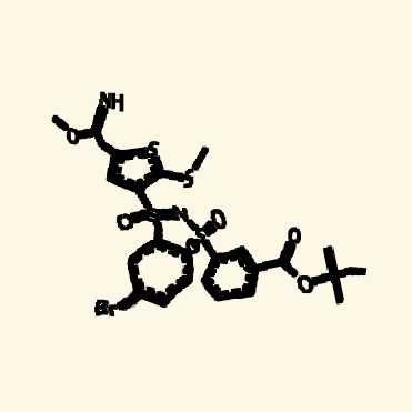 COC(=N)c1cc(S(=O)(=NS(=O)(=O)c2cccc(C(=O)OC(C)(C)C)c2)c2cccc(Br)c2)c(SC)s1